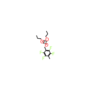 CCC[O][Zr]([O]CCC)[O]Cc1c(F)c(F)c(C)c(F)c1F